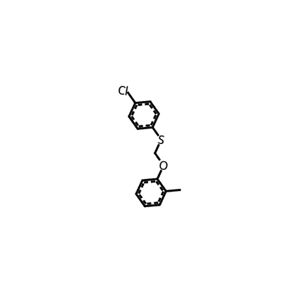 Cc1ccccc1OCSc1ccc(Cl)cc1